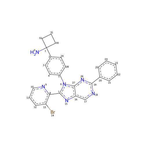 NC1(c2ccc(-n3c(-c4ncccc4Br)nc4cnc(-c5ccccc5)nc43)cc2)CCC1